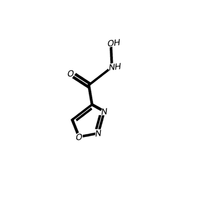 O=C(NO)c1conn1